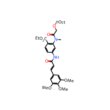 CCCCCCCCOCC(=O)N(C)c1cc(NC(=O)C=Cc2cc(OC)c(OC)c(OC)c2)ccc1C(=O)OCC